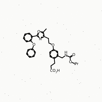 Cc1oc(-c2ccccc2Oc2ccccc2)nc1CCOc1ccc(CCC(=O)O)c(CNC(=O)OC(C)C)c1